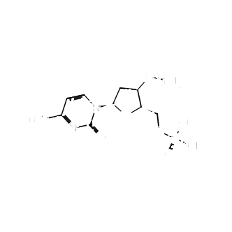 Nc1ccn([C@H]2CC(OP)[C@@H](COP(=O)(O)O)O2)c(=O)n1